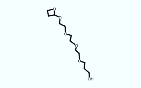 OCCCOCCOCCOCCOC1CCO1